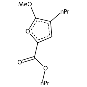 CCCOC(=O)c1cc(CCC)c(OC)o1